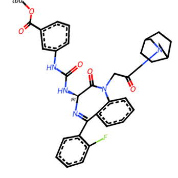 CC(C)(C)OC(=O)c1cccc(NC(=O)N[C@@H]2N=C(c3ccccc3F)c3ccccc3N(CC(=O)N3CC4CCC(CC4)C3)C2=O)c1